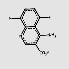 Nc1c(C(=O)O)cnc2c(F)ccc(F)c12